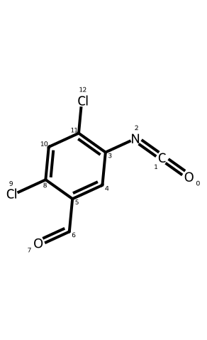 O=C=Nc1cc(C=O)c(Cl)cc1Cl